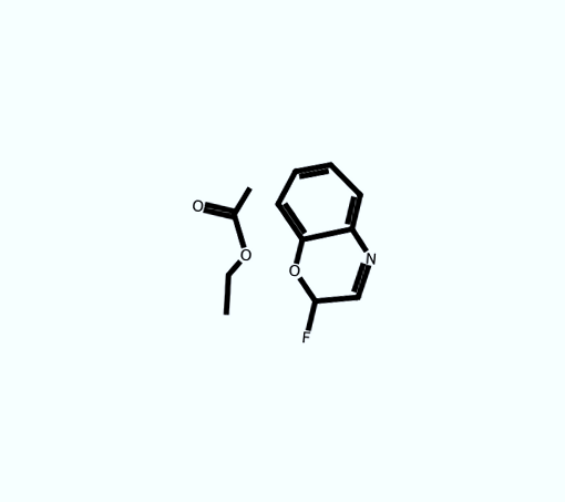 CCOC(C)=O.FC1C=Nc2ccccc2O1